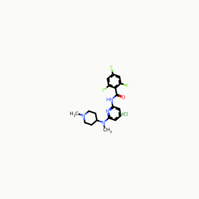 CN1CCC(N(C)c2cccc(NC(=O)c3c(F)cc(F)cc3F)n2)CC1.Cl